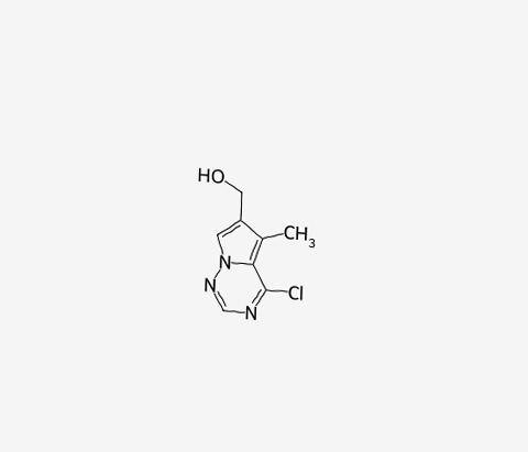 Cc1c(CO)cn2ncnc(Cl)c12